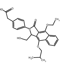 CCOc1c2c(c(OCC(C)C)c3ccccc13)C(CO)N(c1ccc(CC(=O)O)cc1)C2=O